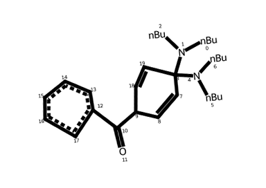 CCCCN(CCCC)C1(N(CCCC)CCCC)C=CC(C(=O)c2ccccc2)C=C1